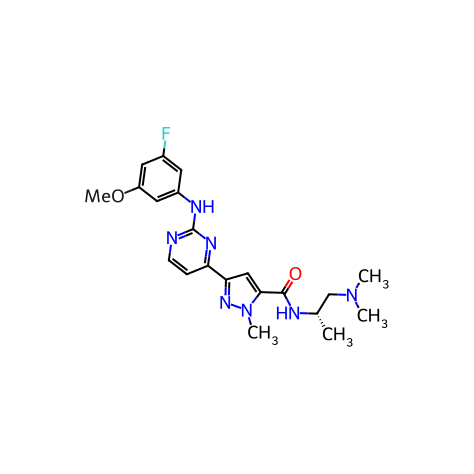 COc1cc(F)cc(Nc2nccc(-c3cc(C(=O)N[C@@H](C)CN(C)C)n(C)n3)n2)c1